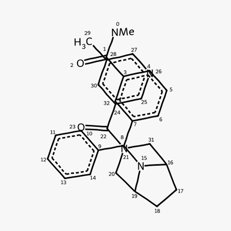 CNC(=O)c1cccc(C(c2ccccc2)N2C3CCC2CN(C(=O)c2cncc(C)c2)C3)c1